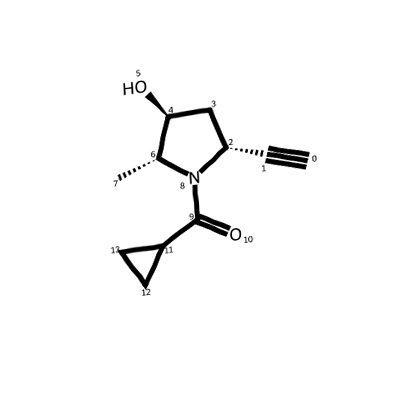 C#C[C@H]1C[C@H](O)[C@@H](C)N1C(=O)C1CC1